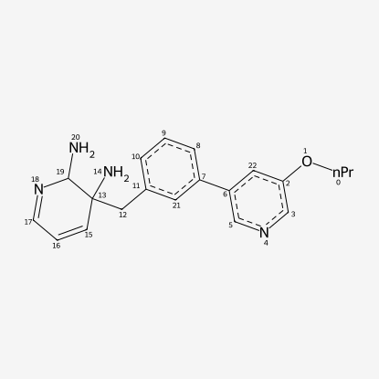 CCCOc1cncc(-c2cccc(CC3(N)C=CC=NC3N)c2)c1